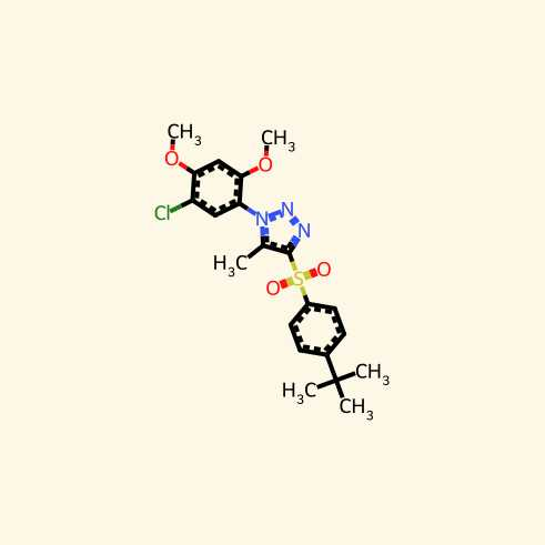 COc1cc(OC)c(-n2nnc(S(=O)(=O)c3ccc(C(C)(C)C)cc3)c2C)cc1Cl